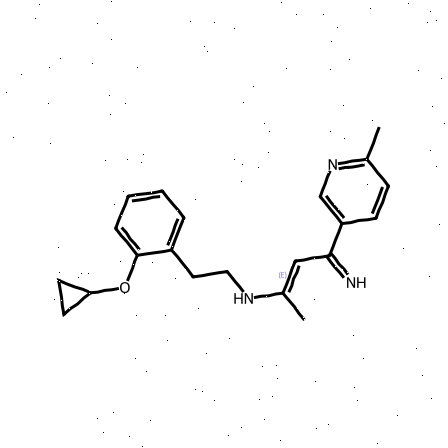 C/C(=C\C(=N)c1ccc(C)nc1)NCCc1ccccc1OC1CC1